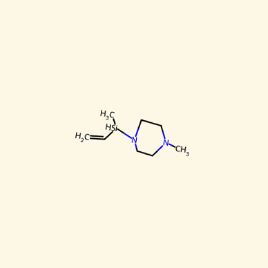 C=C[SiH](C)N1CCN(C)CC1